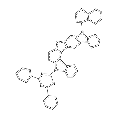 c1ccc(-c2nc(-c3ccccc3)nc(-n3c4ccccc4c4c5c(ccc43)sc3cc4c(cc35)c3ccccc3n4-c3cccc4ccccc34)n2)cc1